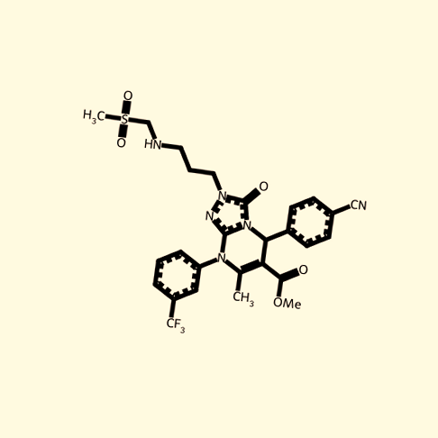 COC(=O)C1=C(C)N(c2cccc(C(F)(F)F)c2)c2nn(CCCNCS(C)(=O)=O)c(=O)n2C1c1ccc(C#N)cc1